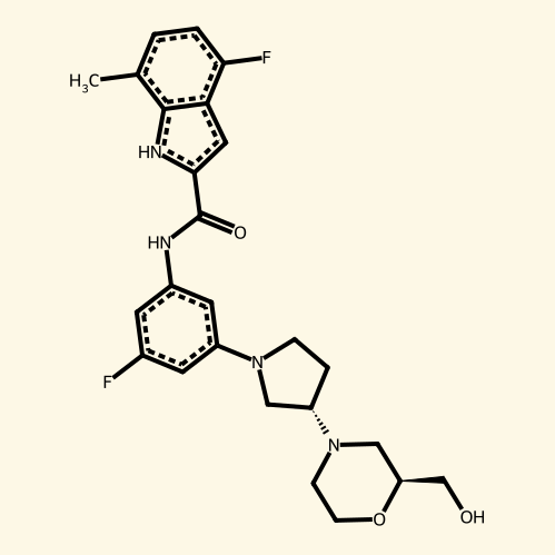 Cc1ccc(F)c2cc(C(=O)Nc3cc(F)cc(N4CC[C@H](N5CCO[C@H](CO)C5)C4)c3)[nH]c12